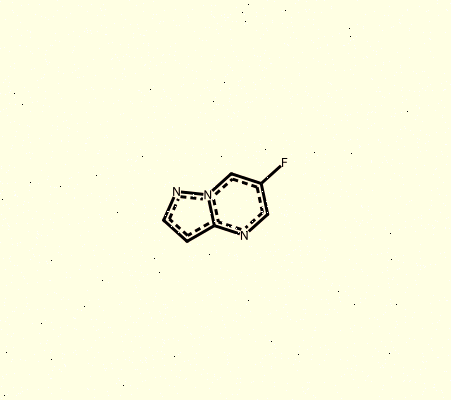 Fc1cnc2ccnn2c1